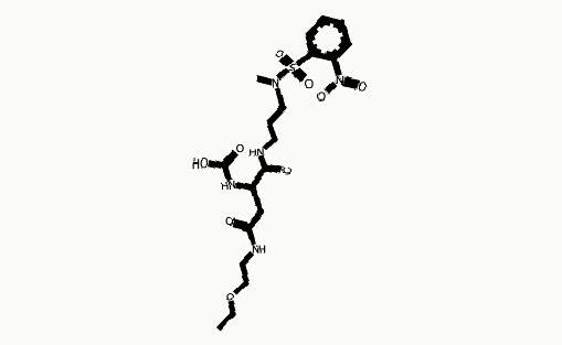 CCOCCNC(=O)CC(NC(=O)O)C(=O)NCCCN(C)S(=O)(=O)c1ccccc1[N+](=O)[O-]